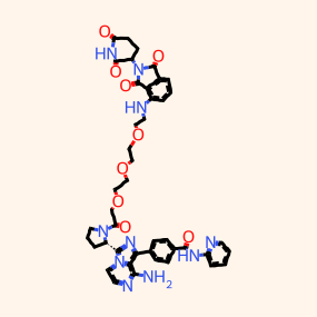 Nc1nccn2c([C@@H]3CCCN3C(=O)COCCOCCOCCNc3cccc4c3C(=O)N(C3CCC(=O)NC3=O)C4=O)nc(-c3ccc(C(=O)Nc4ccccn4)cc3)c12